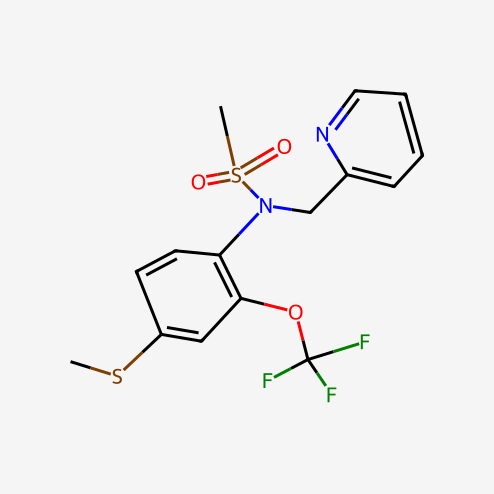 CSc1ccc(N(Cc2ccccn2)S(C)(=O)=O)c(OC(F)(F)F)c1